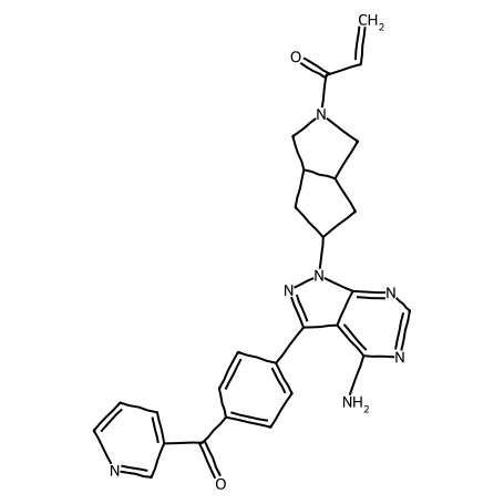 C=CC(=O)N1CC2CC(n3nc(-c4ccc(C(=O)c5cccnc5)cc4)c4c(N)ncnc43)CC2C1